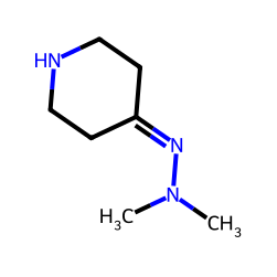 CN(C)N=C1CCNCC1